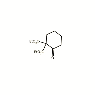 CCOC(=O)C1(C(=O)OCC)CCCCC1=O